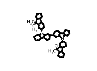 CC1(C)c2ccccc2-c2ccc(-n3c4ccccc4c4ccc(-c5ccc6c7ccccc7n(-c7ccc8c(c7)C(C)(C)c7ccccc7-8)c6c5)cc43)cc21